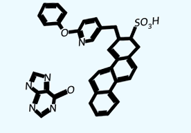 O=C1N=CN=C2N=CN=C12.O=S(=O)(O)C1Cc2ccc3c4c(ccc3c2=CC1Cc1ccc(Oc2ccccc2)nc1)CC=CC=4